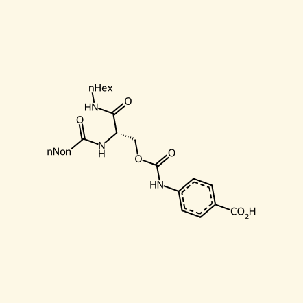 CCCCCCCCCC(=O)N[C@@H](COC(=O)Nc1ccc(C(=O)O)cc1)C(=O)NCCCCCC